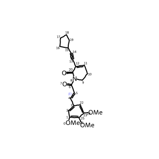 COc1cc(/C=C/C(=O)N2CCC=C(C#CC3CCCC3)C2=O)cc(OC)c1OC